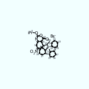 CC(C)Oc1nc2cc([N+](=O)[O-])cc(C(C)[P+](c3ccccc3)(c3ccccc3)c3ccccc3)c2c(=O)o1.[Br-]